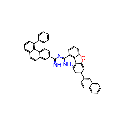 N=C(/N=C(\N)c1cccc2oc3cc(-c4ccc5ccccc5c4)ccc3c12)c1ccc2c(ccc3cccc(-c4ccccc4)c32)c1